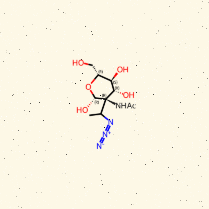 CC(=O)N[C@@]1(C(C)N=[N+]=[N-])[C@H](O)O[C@H](CO)[C@@H](O)[C@@H]1O